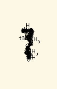 Cc1c(OC2CCC(CC(=O)N3CCN(c4cccc5c(C6CCC(=O)NC6=O)nn(C)c45)CC3)CC2)cccc1-c1ccc(N2CCc3cccc(C(=O)Nc4nc5ccccc5s4)c3C2)nc1C(=O)OC(C)(C)C